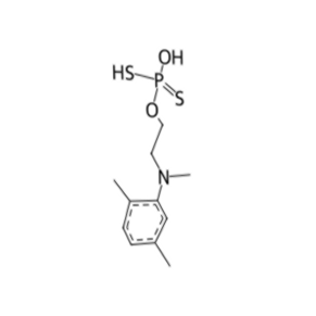 Cc1ccc(C)c(N(C)CCOP(O)(=S)S)c1